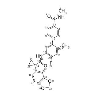 CNC(=O)c1ccc(-c2cc(NC(=O)C3(c4ccc5c(c4)OCO5)CC3)c(F)cc2C)cc1